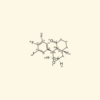 O=C1CCC[C@@H]2C[C@H]3O[C@H]3[C@@H](c3cc(F)c(F)c(F)c3)N12